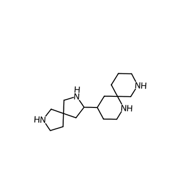 C1CNCC2(C1)CC(C1CC3(CCNC3)CN1)CCN2